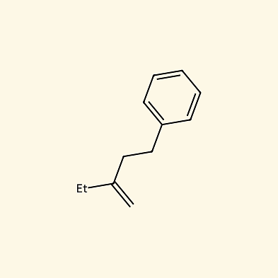 C=C(CC)CCc1ccccc1